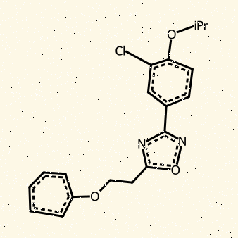 CC(C)Oc1ccc(-c2noc(CCOc3ccccc3)n2)cc1Cl